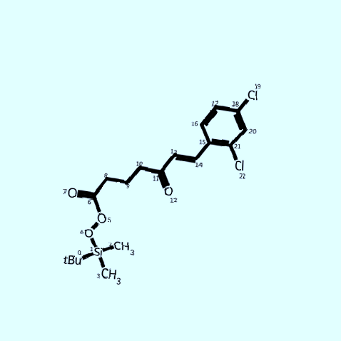 CC(C)(C)[Si](C)(C)OOC(=O)CCCC(=O)C=Cc1ccc(Cl)cc1Cl